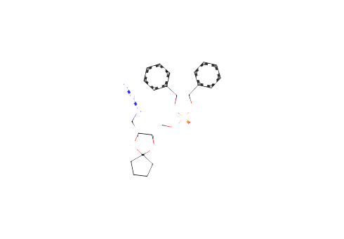 [N-]=[N+]=NC[C@@H]1OC2(CCCC2)O[C@H]1COP(=O)(OCc1ccccc1)OCc1ccccc1